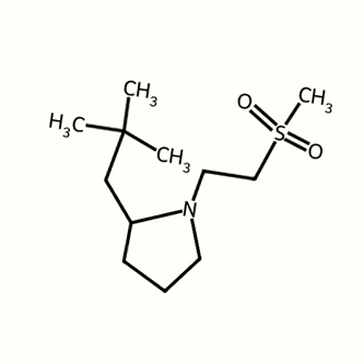 CC(C)(C)CC1CCCN1CCS(C)(=O)=O